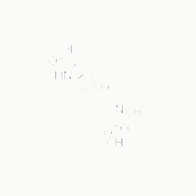 COC(=O)CN(C)CCOc1ccc2[nH]c(C(=O)O)cc2c1